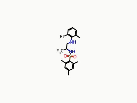 CCc1cccc(C)c1NCC(NS(=O)(=O)c1c(C)cc(C)cc1C)C(F)(F)F